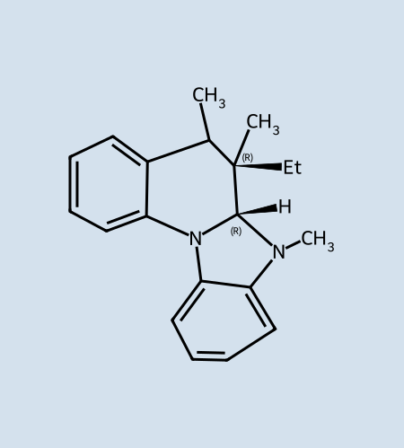 CC[C@]1(C)C(C)c2ccccc2N2c3ccccc3N(C)[C@H]21